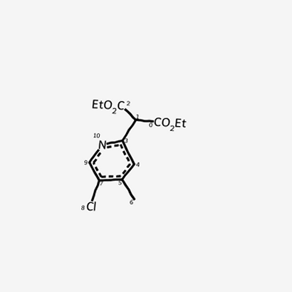 CCOC(=O)C(C(=O)OCC)c1cc(C)c(Cl)cn1